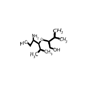 CC(C)C(CO)OC(C(C)C)C(N)CO